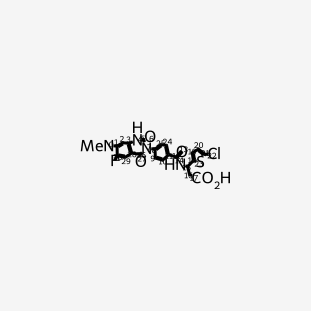 CNc1cc2[nH]c(=O)n(-c3ccc(C(=O)NC(CC(=O)O)c4ccc(Cl)s4)cc3)c(=O)c2cc1F